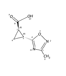 Cc1noc([C@@H]2C[C@H]2C(=O)O)n1